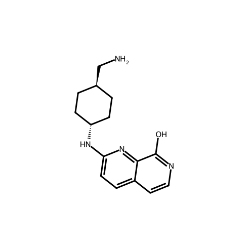 NC[C@H]1CC[C@H](Nc2ccc3ccnc(O)c3n2)CC1